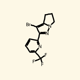 FC(F)(F)c1cccc(-c2nn3c(c2Br)CCC3)n1